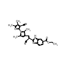 CCOC(=O)c1ccc2nc(C(C#N)=Cc3cc(C)n(-c4oc(C)c(C)c4C#N)c3C)[nH]c2c1